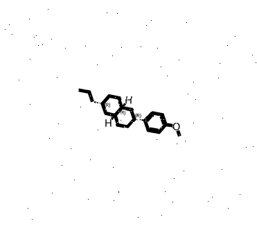 CCC[C@@H]1CC[C@@H]2C[C@H](c3ccc(OC)cc3)CC[C@@H]2C1